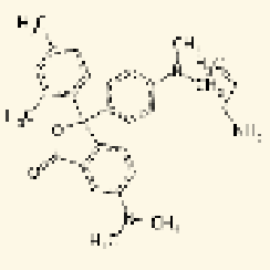 C=CCN.Cc1ccc(C2(c3ccc(N(C)C)cc3)OC(=O)c3cc(N(C)C)ccc32)c(C)c1